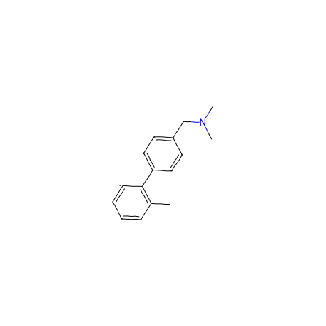 Cc1ccc[c]c1-c1ccc(CN(C)C)cc1